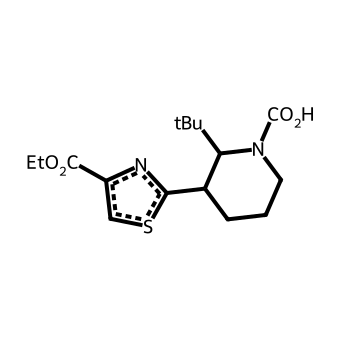 CCOC(=O)c1csc(C2CCCN(C(=O)O)C2C(C)(C)C)n1